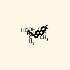 CC1CC2=CC(=O)CC[C@]2(C)[C@@]2(O)CC[C@@]3(C)C(CCC3[C@H](C)CCC(=O)O)C12